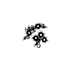 CC(=O)OC[PH](c1ccccc1)(c1ccccc1)c1ccccc1.CCOc1ccc(NC(=S)Nc2ccc(OCC)cc2)cc1